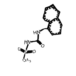 CS(=O)(=O)NC(=O)Nc1cccc2ccccc12